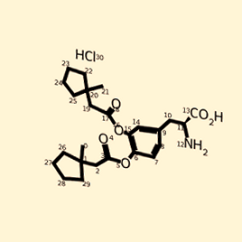 CC1(CC(=O)Oc2ccc(C[C@H](N)C(=O)O)cc2OC(=O)CC2(C)CCCC2)CCCC1.Cl